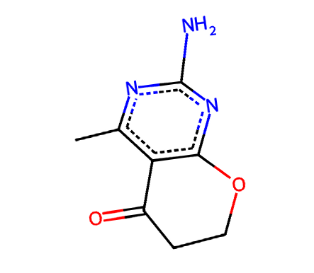 Cc1nc(N)nc2c1C(=O)CCO2